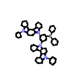 c1ccc(B(c2ccccc2)c2cc(-n3c4ccccc4c4c5c6ccccc6n(-c6ccccc6)c5ccc43)cc(-n3c4ccccc4c4c5c6ccccc6n(-c6ccccc6)c5ccc43)c2)cc1